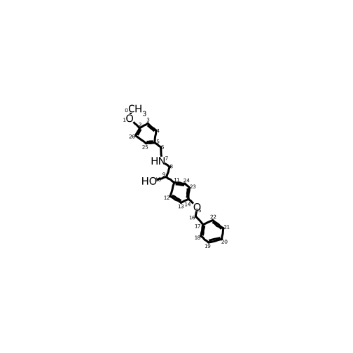 COc1ccc(CNCC(O)c2ccc(OCc3ccccc3)cc2)cc1